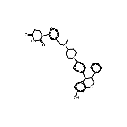 CN(Cc1cccc(N2CCC(=O)NC2=O)c1)C1CCN(c2ccc(C3c4ccc(O)cc4OCC3c3ccccc3)cc2)CC1